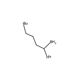 BC(CCC)CCCC(C)CC